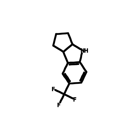 FC(F)(F)c1ccc2c(c1)C1CCCC1N2